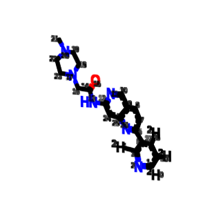 [2H]c1nc([2H])c(-c2ccc3cnc(NC(=O)CN4CCN(C)CC4)cc3n2)c([2H])c1[2H]